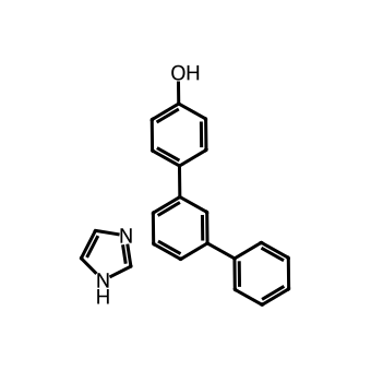 Oc1ccc(-c2cccc(-c3ccccc3)c2)cc1.c1c[nH]cn1